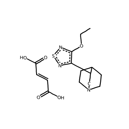 CCOc1nsnc1C1CN2CCC1CC2.O=C(O)C=CC(=O)O